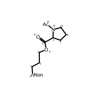 CCCCCCCCCCCCOC(=O)C1CCCN1C(C)=O